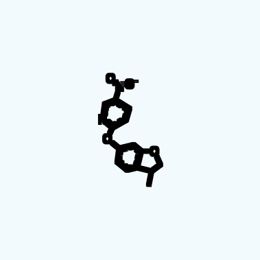 CC1COc2cc(Oc3ccc([N+](=O)[O-])cn3)ccc21